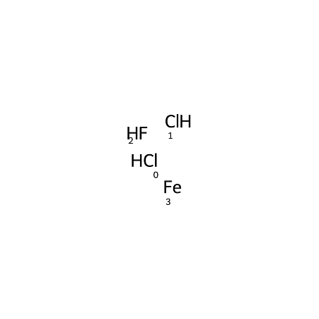 Cl.Cl.F.[Fe]